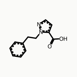 O=C(O)c1ccnn1CCc1ccccc1